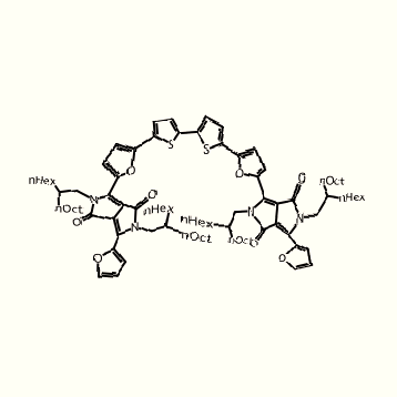 CCCCCCCCC(CCCCCC)CN1C(=O)C2=C(c3ccc(-c4ccc(-c5ccc(-c6ccc(C7=C8C(=O)N(CC(CCCCCC)CCCCCCCC)C(c9ccco9)=C8C(=O)N7CC(CCCCCC)CCCCCCCC)o6)s5)s4)o3)N(CC(CCCCCC)CCCCCCCC)C(=O)C2=C1c1ccco1